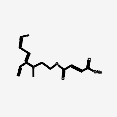 C=C/C(=C\C=C/C)N(C)CCOC(=O)/C=C/C(=O)OC